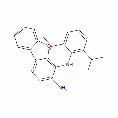 CC(C)c1cccc(C(C)C)c1Nc1c(N)cnc2c1oc1ccccc12